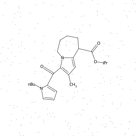 CCCCn1cccc1C(=O)c1c(C)cc2n1CCCCC2C(=O)OC(C)C